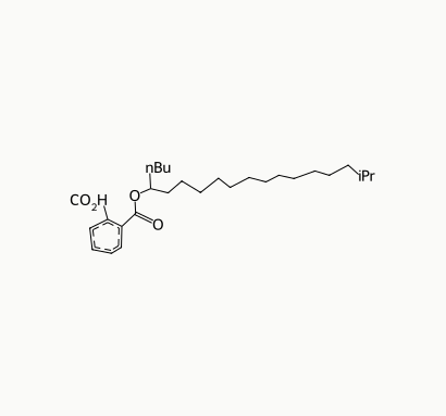 CCCCC(CCCCCCCCCCCCC(C)C)OC(=O)c1ccccc1C(=O)O